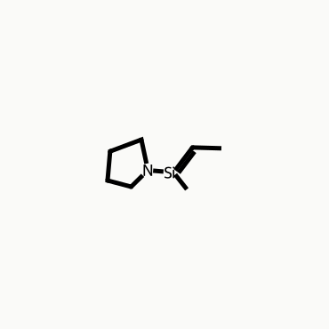 CC=[Si](C)N1CCCC1